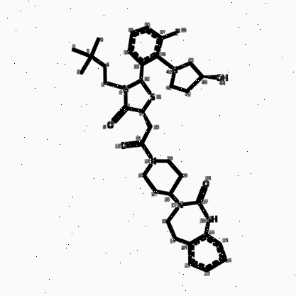 CC(C)(C)CCN1C(=O)[C@H](CC(=O)N2CCC(N3CCc4ccccc4NC3=O)CC2)SC1c1cccc(F)c1N1CC[C@H](O)C1